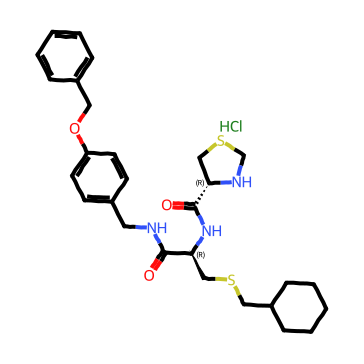 Cl.O=C(N[C@@H](CSCC1CCCCC1)C(=O)NCc1ccc(OCc2ccccc2)cc1)[C@@H]1CSCN1